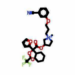 C[N+]1(CCCOc2cccc(C#N)c2)CCC(OC(=O)C(OC(=O)C(F)(F)F)(c2ccco2)C2CCCCC2)C1